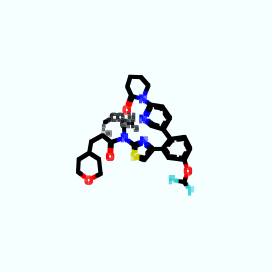 CN(C(=O)[C@@H](CC(=O)O)CC1CCOCC1)c1nc(-c2cc(OC(F)F)ccc2-c2ccc(N3CCCCC3=O)nc2)cs1